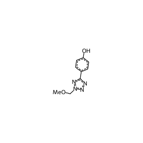 COCn1nnc(-c2ccc(O)cc2)n1